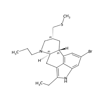 CCCN1C[C@H](CSC)C[C@@H]2c3cc(Br)cc4[nH]c(CC)c(c34)C[C@H]21